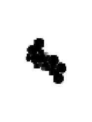 COc1ccc(C(N)(C(=O)OCC2c3ccccc3-c3ccccc32)C(Oc2ccccc2)C(=O)NNCNC(c2ccccc2)c2ccccc2)c(OC)c1